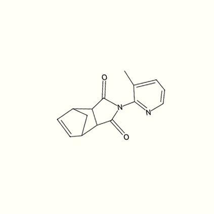 Cc1cccnc1N1C(=O)C2C3C=CC(C3)C2C1=O